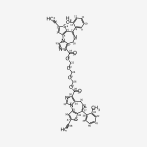 C#Cc1cc2c(s1)C(c1ccccc1C)=NCc1c(C(=O)OCOCOCOC(=O)c3ncn4c3CN=C(c3ccccc3C)c3sc(C#C)cc3-4)ncn1-2